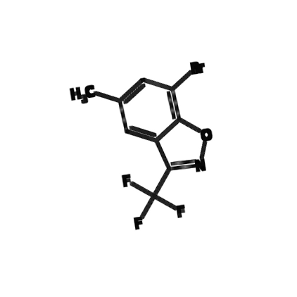 Cc1cc(Br)c2onc(C(F)(F)F)c2c1